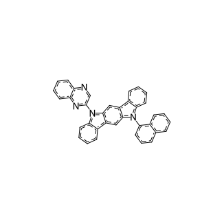 c1ccc2c(-n3c4ccccc4c4cc5c(cc43)c3ccccc3n5-c3cnc4ccccc4n3)cccc2c1